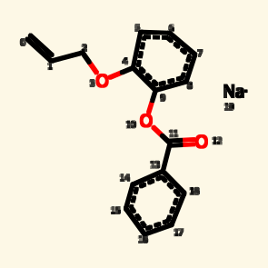 C=CCOc1ccccc1OC(=O)c1ccccc1.[Na]